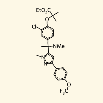 CCOC(=O)C(C)(C)Oc1ccc(C(C)(NC)c2cc(-c3ccc(OC(F)(F)F)cc3)nn2C)cc1Cl